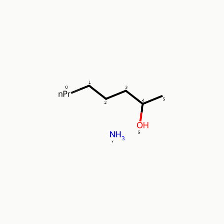 CCCCCCC(C)O.N